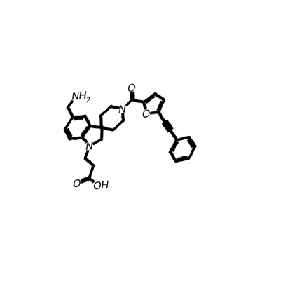 NCc1ccc2c(c1)C1(CCN(C(=O)c3ccc(C#Cc4ccccc4)o3)CC1)CN2CCC(=O)O